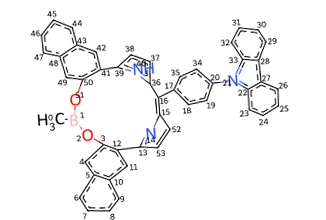 CB1Oc2cc3ccccc3cc2C2=N/C(=C(/c3ccc(-n4c5ccccc5c5ccccc54)cc3)c3ccc([nH]3)-c3cc4ccccc4cc3O1)C=C2